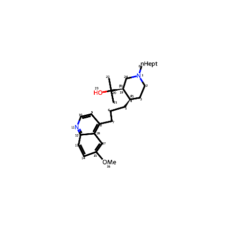 CCCCCCCN1CC[C@@H](CCCc2ccnc3ccc(OC)cc23)[C@@H](C(C)(C)O)C1